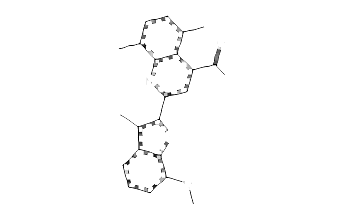 COc1cccc2c(C)c(-c3cc(C(=O)O)c4c(C)ccc(C)c4n3)oc12